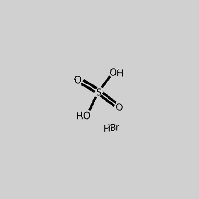 Br.O=S(=O)(O)O